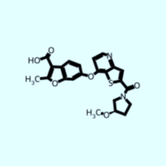 CO[C@@H]1CCN(C(=O)c2cc3nccc(Oc4ccc5c(C(=O)O)c(C)oc5c4)c3s2)C1